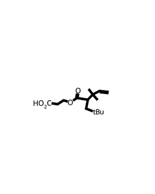 C=CC(C)(C)C(CC(C)(C)C)C(=O)OCCC(=O)O